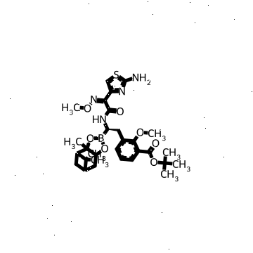 CO/N=C(\C(=O)N[C@@H](Cc1cccc(C(=O)OC(C)(C)C)c1OC)B1OC2CC3CC(C3(C)C)C2(C)O1)c1csc(N)n1